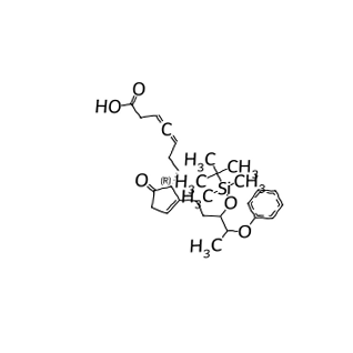 CC(Oc1ccccc1)C(CCC1=CCC(=O)[C@@H]1CCC=C=CCC(=O)O)O[Si](C)(C)C(C)(C)C